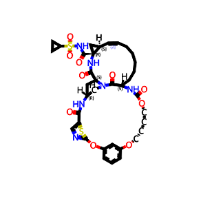 O=C1N[C@H]2CCCCC/C=C\[C@@H]3C[C@@]3(C(=O)NS(=O)(=O)C3CC3)NC(=O)[C@@H]3C[C@H](CN3C2=O)NC(=O)c2cnc(s2)Oc2cccc(c2)OCCCCO1